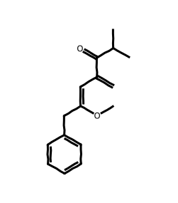 C=C(/C=C(/Cc1ccccc1)OC)C(=O)C(C)C